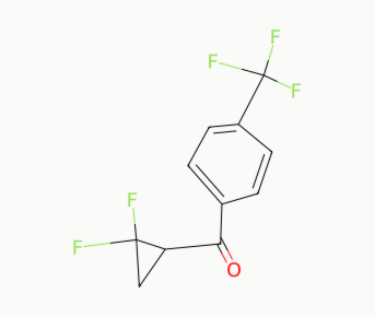 O=C(c1ccc(C(F)(F)F)cc1)C1CC1(F)F